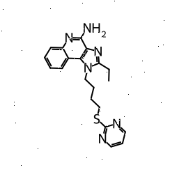 CCc1nc2c(N)nc3ccccc3c2n1CCCCSc1ncccn1